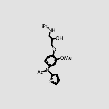 COc1cc(N(C(C)=O)c2cccs2)ccc1OCC(O)CNC(C)C